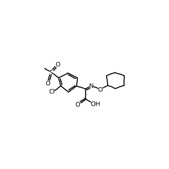 CS(=O)(=O)c1ccc(C(=NOC2CCCCC2)C(=O)O)cc1Cl